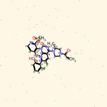 C=CC(=O)N1CCN(c2nc(=O)n(-c3c(C(C)C)ccnc3S(C)(=O)=O)c3nc(-c4c(O)cccc4F)c(F)cc23)[C@@H](C)C1